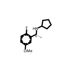 COc1ccc(F)c([C@@H](C)NC2CCCC2)c1